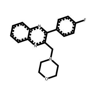 Fc1ccc(-c2nc3ccccc3nc2CN2CCOCC2)cc1